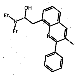 CCN(CC)C(O)Cc1cccc2cc(C)c(-c3ccccc3)nc12